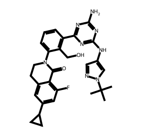 CC(C)(C)n1cc(Nc2nc(N)nc(-c3cccc(N4CCc5cc(C6CC6)cc(F)c5C4=O)c3CO)n2)cn1